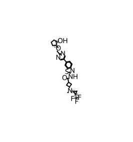 CN(C1CC(C(=O)Nc2nc3ccc(-c4cnc(CO[C@H]5CCC[C@@H]5O)nc4)cc3s2)C1)[C@@H]1C[C@H]1C(F)(F)F